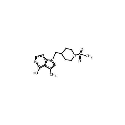 Cc1cn(CC2CCN(S(C)(=O)=O)CC2)c2ncnc(O)c12